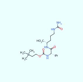 CC(C)[C@H](NC(=O)OCC[Si](C)(C)C)C(=O)N[C@@H](CCCNC(N)=O)C(=O)O